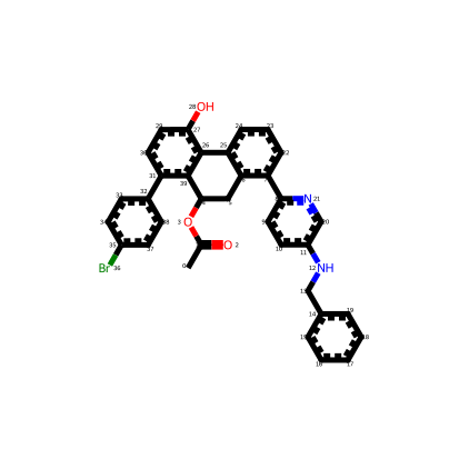 CC(=O)OC1Cc2c(-c3ccc(NCc4ccccc4)cn3)cccc2-c2c(O)ccc(-c3ccc(Br)cc3)c21